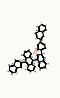 c1ccc2cc(-c3ccc4c(c3)oc3c(-c5c6ccccc6c(-c6ccc7ccccc7c6)c6ccccc56)c5ccccc5cc34)ccc2c1